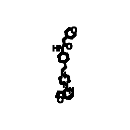 O=C(CC1CCOCC1)N[C@H]1CC[C@H](CCN2CCN(c3nccc4occc34)CC2)CC1